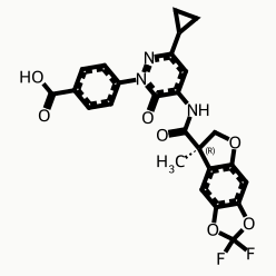 C[C@]1(C(=O)Nc2cc(C3CC3)nn(-c3ccc(C(=O)O)cc3)c2=O)COc2cc3c(cc21)OC(F)(F)O3